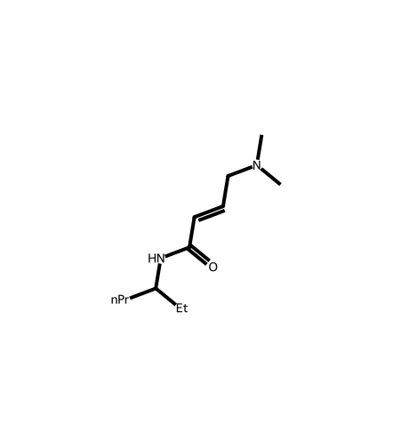 CCCC(CC)NC(=O)/C=C/CN(C)C